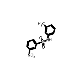 Cc1cccc(NS(=O)(=O)c2cccc([N+](=O)[O-])c2)c1